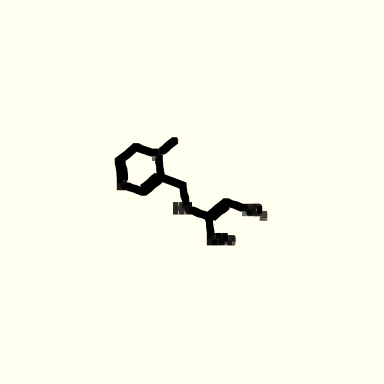 CNC(=C[N+](=O)[O-])NCC1=CN=CCN1C